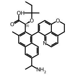 CCC(C)(C)O[C@H](C(=O)O)c1c(C)cc2cc(C(C)N)ccc2c1-c1ccc2c3c(ccnc13)CCO2